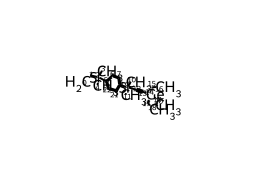 C=C[Si](C)(C)c1ccc([Si](C)(C)C#[C][Ge]([CH2]C)([CH2]C)[CH2]C)cc1